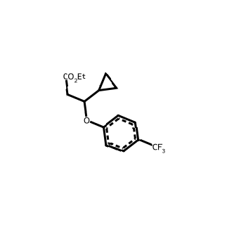 CCOC(=O)CC(Oc1ccc(C(F)(F)F)cc1)C1CC1